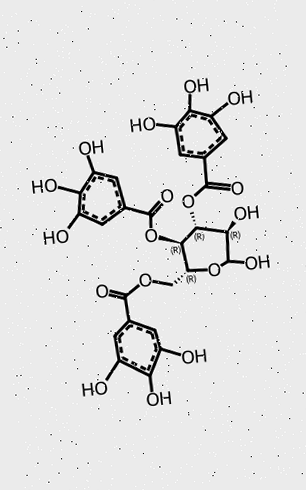 O=C(OC[C@H]1OC(O)[C@H](O)[C@@H](OC(=O)c2cc(O)c(O)c(O)c2)[C@@H]1OC(=O)c1cc(O)c(O)c(O)c1)c1cc(O)c(O)c(O)c1